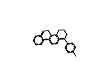 Cc1ccc(C2=c3ccc4c(c3CCC2)CC=c2ccccc2=4)cc1